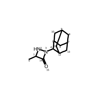 CC1NN(C2C3CC4CC(C3)CC2C4)C1=O